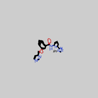 CC(C)n1cnnc1-c1cccc(NC(=O)c2cccc(OCc3ccncn3)c2)n1